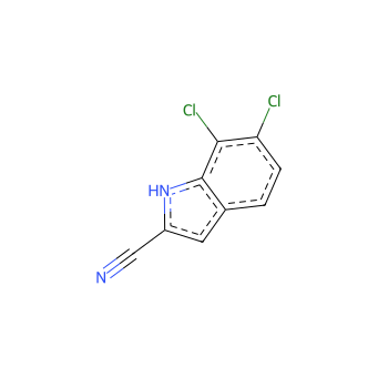 N#Cc1cc2ccc(Cl)c(Cl)c2[nH]1